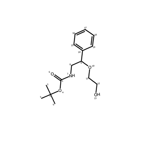 CC(C)(C)OC(=O)NCC(OCCO)c1ccccc1